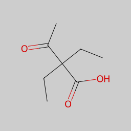 CCC(CC)(C(C)=O)C(=O)O